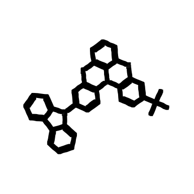 CC(C)(C)c1ccc2c(c1)Sc1cccc3c1B2c1ccc(-n2c4ccccc4c4ccccc42)cc1S3